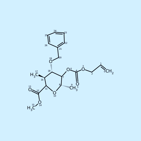 C=CCOC(=O)OC1[C@H](C)OC(C(=O)OC)[C@@H](C)[C@@H]1OCc1ccccc1